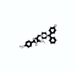 Cc1ccc(-c2nc(CN3CCN(C(c4ccccc4)c4ccc(Cl)cc4)CC3)c(C)[nH]2)cc1